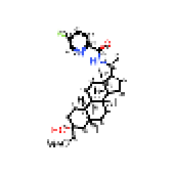 COC[C@@]1(O)CC[C@H]2[C@H](CC[C@@H]3[C@@H]2CC[C@]2(C)[C@@H]([C@H](C)NC(=O)c4ccc(F)cn4)CC[C@@H]32)C1